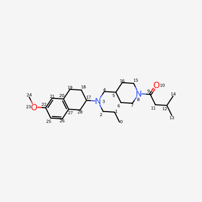 CCCN(CC1CCN(C(=O)CC(C)C)CC1)C1CCc2cc(OC)ccc2C1